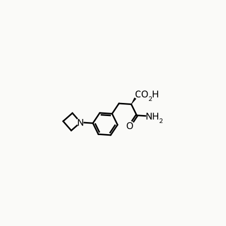 NC(=O)[C@@H](Cc1cccc(N2CCC2)c1)C(=O)O